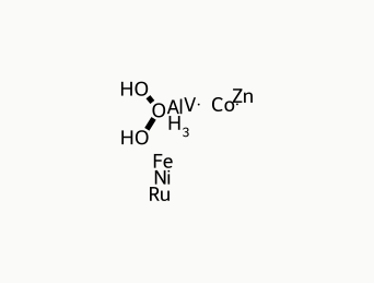 OOO.[AlH3].[Co].[Fe].[Ni].[Ru].[V].[Zn]